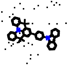 CC1(C)c2ccccc2N2c3ccccc3C(C)(C)c3cc(-c4ccc(-n5c6ccccc6c6ccccc65)cc4)cc1c32